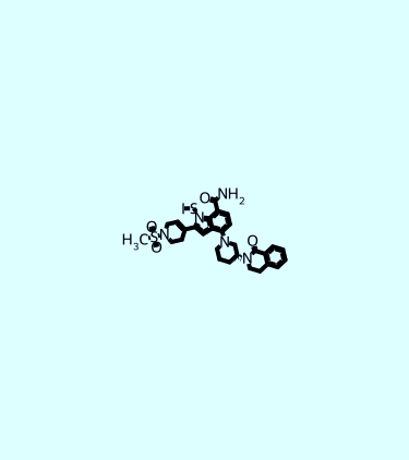 CS(=O)(=O)N1CC=C(c2cc3c(N4CCC[C@@H](N5CCc6ccccc6C5=O)C4)ccc(C(N)=O)c3n2SI)CC1